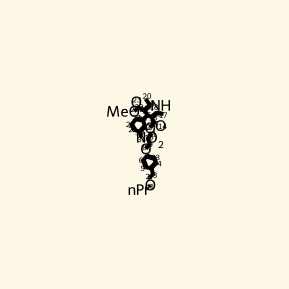 CCCOCCc1ccc(OCCCOC(=O)C2=C(C)NC(C)=C(C(=O)OC)C2c2cccc([N+](=O)[O-])c2)cc1